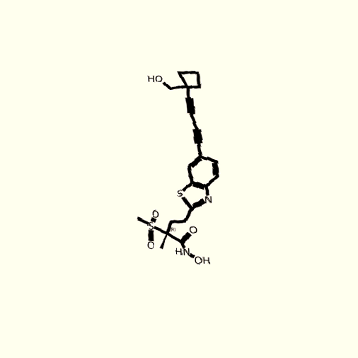 C[C@@](CCc1nc2ccc(C#CC#CC3(CO)CCC3)cc2s1)(C(=O)NO)S(C)(=O)=O